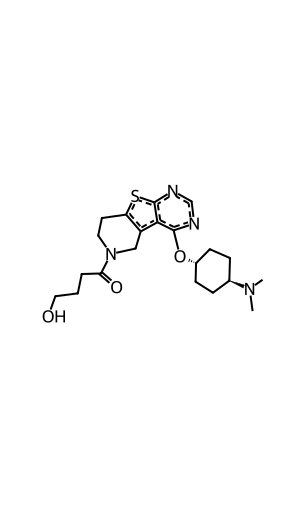 CN(C)[C@H]1CC[C@H](Oc2ncnc3sc4c(c23)CN(C(=O)CCCO)CC4)CC1